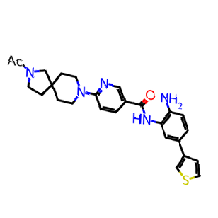 CC(=O)N1CCC2(CCN(c3ccc(C(=O)Nc4cc(-c5ccsc5)ccc4N)cn3)CC2)C1